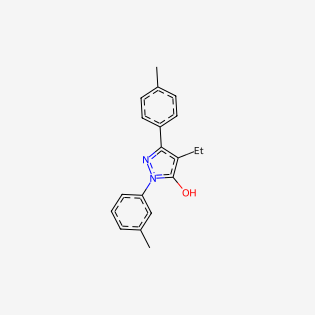 CCc1c(-c2ccc(C)cc2)nn(-c2cccc(C)c2)c1O